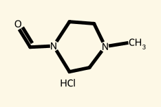 CN1CCN(C=O)CC1.Cl